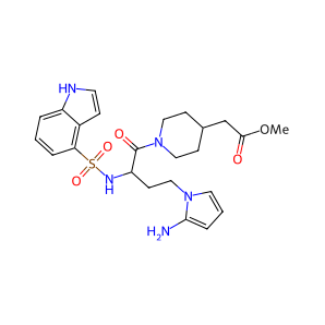 COC(=O)CC1CCN(C(=O)C(CCn2cccc2N)NS(=O)(=O)c2cccc3[nH]ccc23)CC1